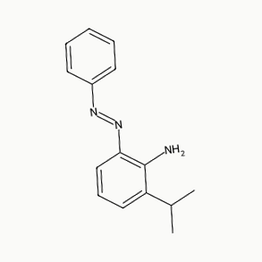 CC(C)c1cccc(N=Nc2ccccc2)c1N